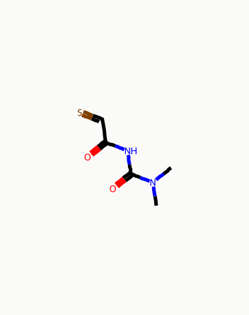 CN(C)C(=O)NC(=O)C=S